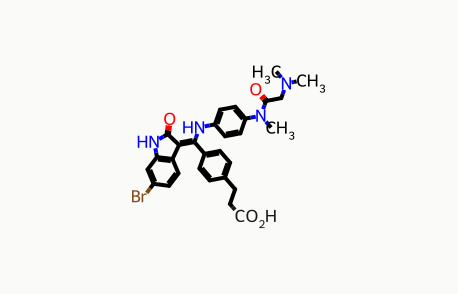 CN(C)CC(=O)N(C)c1ccc(N/C(=C2\C(=O)Nc3cc(Br)ccc32)c2ccc(CCC(=O)O)cc2)cc1